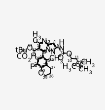 Cc1nc2cc(NC(=O)OCC[Si](C)(C)C)nn2c(-c2cc(F)c3c(c2C)CCCO3)c1[C@H](OC(C)(C)C)C(=O)O